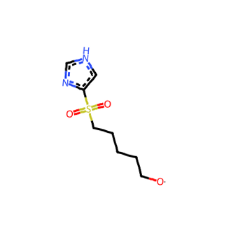 [O]CCCCCS(=O)(=O)c1c[nH]cn1